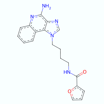 Nc1nc2ccccc2c2c1ncn2CCCCNC(=O)c1ccco1